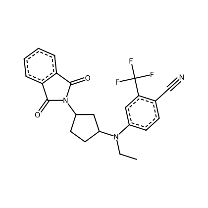 CCN(c1ccc(C#N)c(C(F)(F)F)c1)C1CCC(N2C(=O)c3ccccc3C2=O)C1